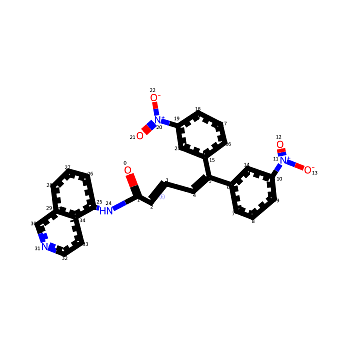 O=C(/C=C/C=C(c1cccc([N+](=O)[O-])c1)c1cccc([N+](=O)[O-])c1)Nc1cccc2cnccc12